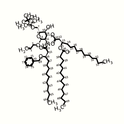 C=CCO[C@H]1O[C@H](CO[Si](C)(C)C(C)(C)C)[C@@H](O)[C@H](OC(=O)C[C@@H](CCCCCCCCCCC)OC(=O)CCCCCCCCCCCCC)[C@H]1NC(=O)C[C@@H](CCCCCCCCCCC)OCc1ccccc1